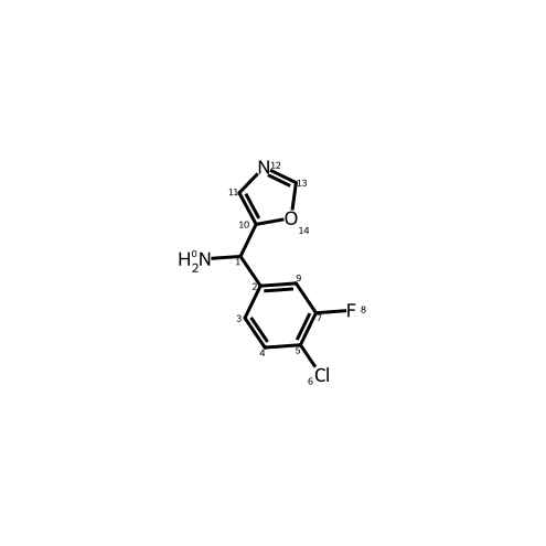 NC(c1ccc(Cl)c(F)c1)c1cnco1